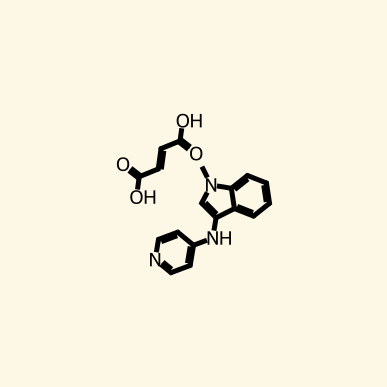 Cn1cc(Nc2ccncc2)c2ccccc21.O=C(O)C=CC(=O)O